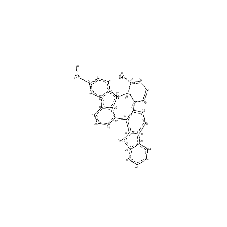 COc1ccc2c(c1)c1cccc(-c3cccc4c3oc3ccccc34)c1n2C1CC=CC=C1Br